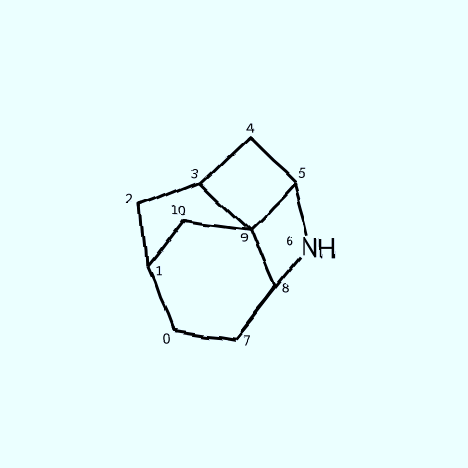 C1C2CC3CC4NC1CC34C2